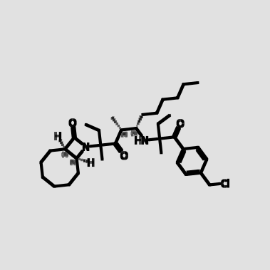 CCCCCC[C@H](NC(C)(CC)C(=O)c1ccc(CCl)cc1)[C@@H](C)C(=O)C(C)(CC)N1C(=O)[C@@H]2CCCCCC[C@@H]21